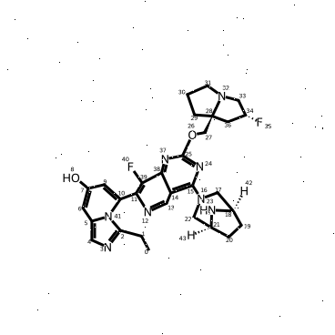 CCc1ncc2cc(O)cc(-c3ncc4c(N5C[C@H]6CC[C@@H](C5)N6)nc(OC[C@@]56CCCN5C[C@H](F)C6)nc4c3F)n12